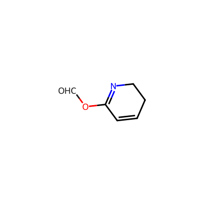 O=COC1=NCCC=C1